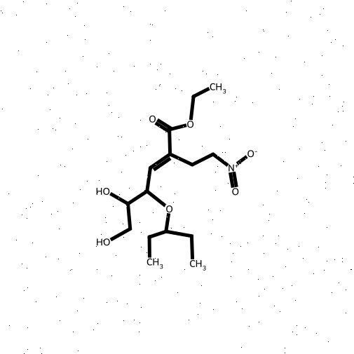 CCOC(=O)/C(=C/C(OC(CC)CC)C(O)CO)CC[N+](=O)[O-]